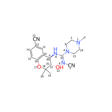 CN1CCN(C(=NC#N)N[C@@H]2c3cc(C#N)ccc3OC(C)(C)[C@H]2O)CC1